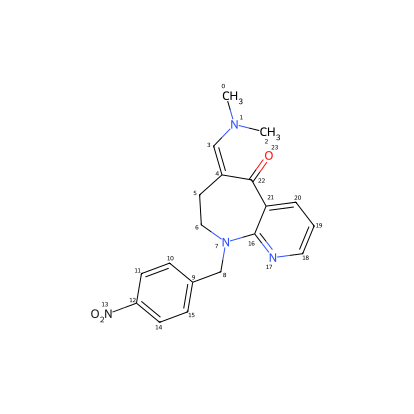 CN(C)C=C1CCN(Cc2ccc([N+](=O)[O-])cc2)c2ncccc2C1=O